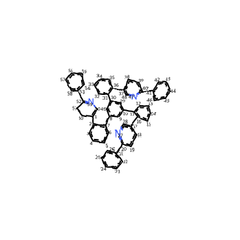 C1=C(c2ccccc2-c2cc(-c3ccccc3-c3ccc(-c4ccccc4)nc3)cc(-c3ccccc3-c3ccc(-c4ccccc4)nc3)c2)CCC(c2ccccc2)=N1